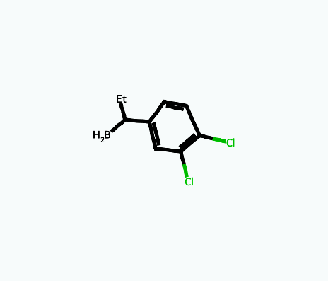 BC(CC)c1ccc(Cl)c(Cl)c1